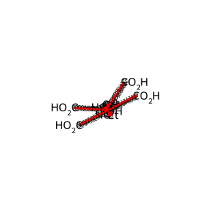 CCC(CO)(CO)CO.O=C(O)CCCCCCCCCCCCCCCCCCCCCC(CCCCCCCCCCCCCCCCCCCCCC(=O)O)C(CCCCCCCCCCCCCCCCCCCCCC(=O)O)(CCCCCCCCCCCCCCCCCCCCCC(=O)O)C(CO)(CO)CO